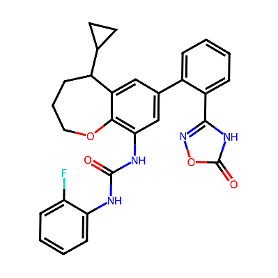 O=C(Nc1ccccc1F)Nc1cc(-c2ccccc2-c2noc(=O)[nH]2)cc2c1OCCCC2C1CC1